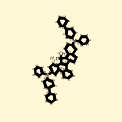 CC1(C)c2c(ccc3cc(N(c4ccccc4)c4ccc(-c5ccccc5)cc4)ccc23)-c2c1c1ccc(N(c3ccccc3)c3ccc(-c4ccccc4)cc3)cc1c1ccccc21